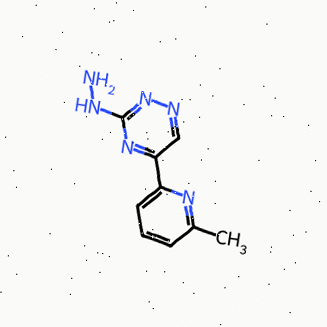 Cc1cccc(-c2cnnc(NN)n2)n1